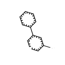 Nc1[c]ncc(-c2ccccc2)c1